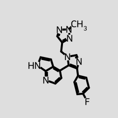 Cn1ncc(Cn2cnc(-c3ccc(F)cc3)c2-c2ccnc3[nH]ccc23)n1